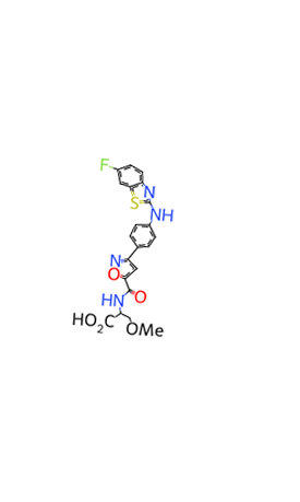 COCC(NC(=O)c1cc(-c2ccc(Nc3nc4ccc(F)cc4s3)cc2)no1)C(=O)O